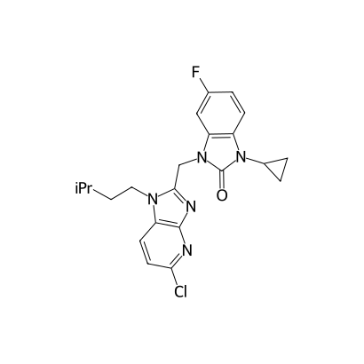 CC(C)CCn1c(Cn2c(=O)n(C3CC3)c3ccc(F)cc32)nc2nc(Cl)ccc21